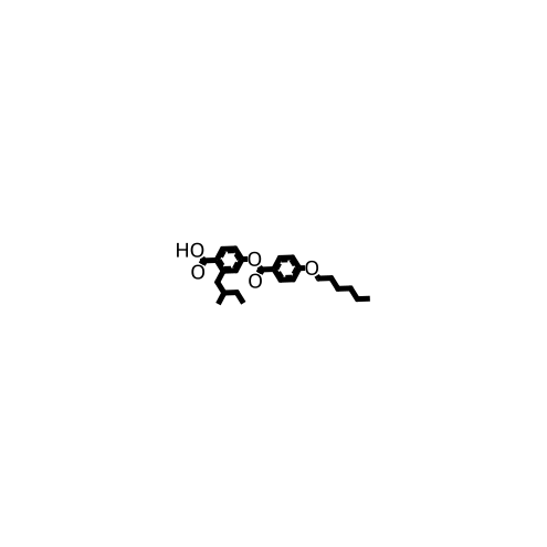 CCCCCCOc1ccc(C(=O)Oc2ccc(C(=O)O)c(CC(C)CC)c2)cc1